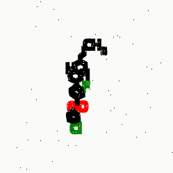 CCCC[C@H]1CC[C@@H]2CC(c3ccc(C(=O)Oc4ccc(Cl)cc4)cc3F)CC[C@H]2C1